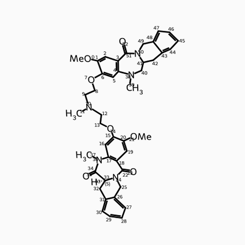 COc1cc2c(cc1OCCN(C)CCOc1cc3c(cc1OC)C(=O)N1Cc4ccccc4C[C@H]1C(=O)N3C)N(C)CC1Cc3ccccc3CN1C2=O